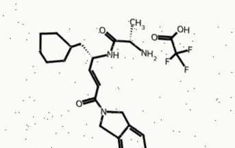 C[C@H](N)C(=O)N[C@H](/C=C/C(=O)N1Cc2ccccc2C1)CC1CCCCC1.O=C(O)C(F)(F)F